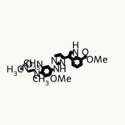 COC(=O)c1cccc2c(-c3ccnc(Nc4cc([N+](=O)[O-])c(N(C)CCN(C)C)cc4OC)n3)c[nH]c12